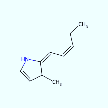 CC/C=C\C=C1\NC=CC1C